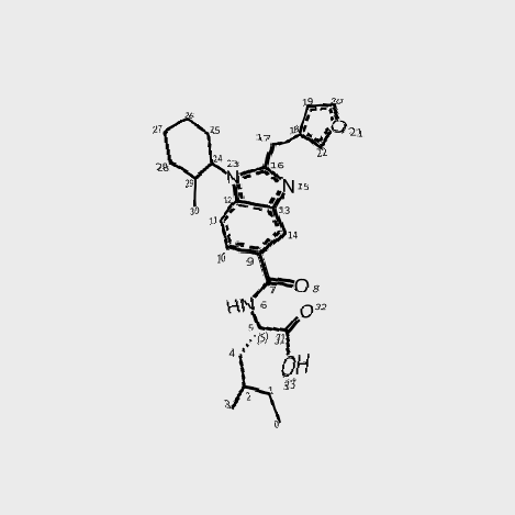 CCC(C)C[C@H](NC(=O)c1ccc2c(c1)nc(Cc1ccoc1)n2C1CCCCC1C)C(=O)O